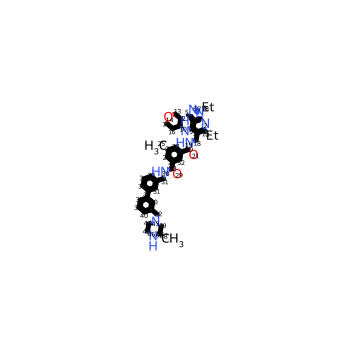 CCc1nc2c(cnn2CC)c(NC2CCOCC2)c1CNC(=O)c1cc(C)cc(C(=O)NCc2cccc(-c3cccc(CN4CCN[C@@H](C)C4)c3)c2)c1